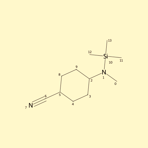 CN(C1CCC(C#N)CC1)[Si](C)(C)C